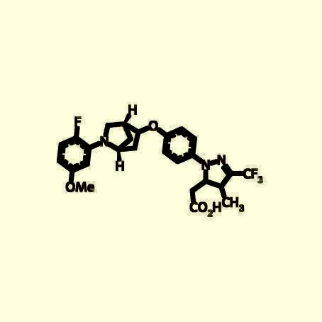 COc1ccc(F)c(N2C[C@H]3C[C@@H]2CC3Oc2ccc(N3N=C(C(F)(F)F)C(C)C3CC(=O)O)cc2)c1